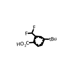 CC(C)(C)c1ccc(C(=O)O)c(C(F)F)c1